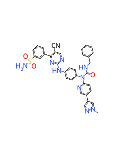 Cn1cc(-c2ccc(N(C(=O)NCc3ccccc3)c3ccc(Nc4ncc(C#N)c(-c5cccc(S(N)(=O)=O)c5)n4)cc3)nc2)cn1